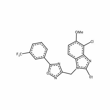 CCc1nc2c(Cl)c(OC)ccc2n1Cc1noc(-c2cccc(C(F)(F)F)c2)n1